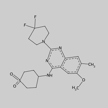 COc1cc2c(NC3CCS(=O)(=O)CC3)nc(N3CCC(F)(F)CC3)nc2cc1C